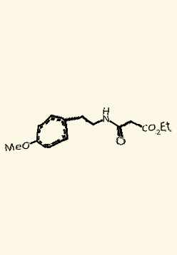 CCOC(=O)CC(=O)NCCc1ccc(OC)cc1